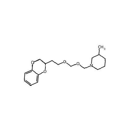 CC1CCCN(COCOCCC2COc3ccccc3O2)C1